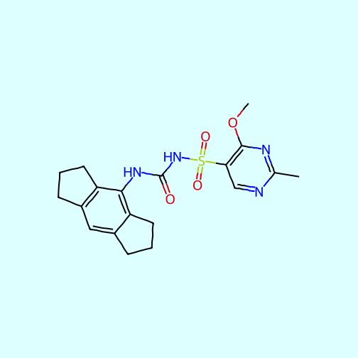 COc1nc(C)ncc1S(=O)(=O)NC(=O)Nc1c2c(cc3c1CCC3)CCC2